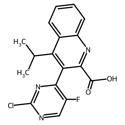 CC(C)c1c(-c2nc(Cl)ncc2F)c(C(=O)O)nc2ccccc12